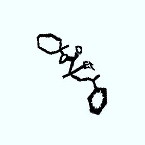 CCC(C)(CC(C)c1ccccc1)C(=O)OC1(C)CCCCC1